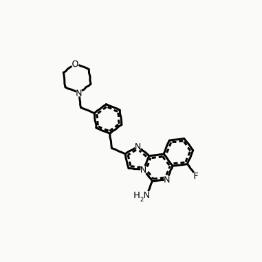 Nc1nc2c(F)cccc2c2nc(Cc3cccc(CN4CCOCC4)c3)cn12